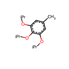 Cc1cc(OC(C)C)c(OC(C)C)c(OC(C)C)c1